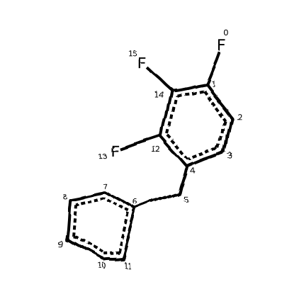 Fc1ccc(Cc2ccccc2)c(F)c1F